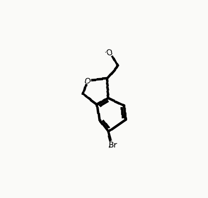 [O]CC1OCc2cc(Br)ccc21